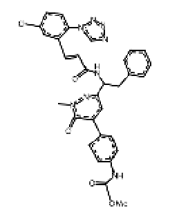 COC(=O)Nc1ccc(-c2cc(C(Cc3ccccc3)NC(=O)C=Cc3cc(Cl)ccc3-n3cnnn3)nn(C)c2=O)cc1